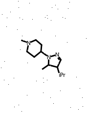 CC(C)C1C=NN(C2CCN(C)CC2)C1C